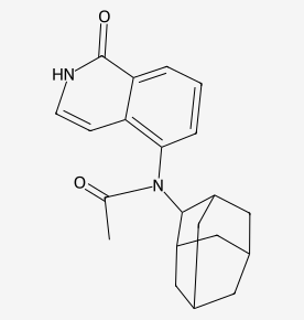 CC(=O)N(c1cccc2c(=O)[nH]ccc12)C1C2CC3CC(C2)CC1C3